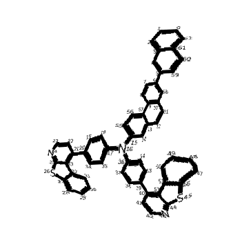 c1ccc2cc(-c3ccc4c(ccc5cc(N(c6ccc(-c7ccnc8sc9ccccc9c78)cc6)c6ccc(-c7ccnc8sc9ccccc9c78)cc6)ccc54)c3)ccc2c1